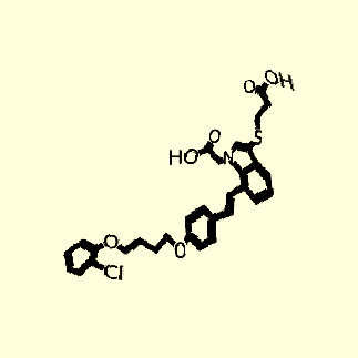 O=C(O)CCSc1cn(CC(=O)O)c2c(/C=C/c3ccc(OCCCCOc4ccccc4Cl)cc3)cccc12